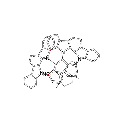 CC1(C)CCC(C)(C)c2c(C#N)c(-n3c4ccccc4c4ccc5c6ccccc6n(-c6ccccc6)c5c43)c(-n3c4ccccc4c4ccc5c6ccccc6n(-c6ccccc6)c5c43)c(C#N)c21